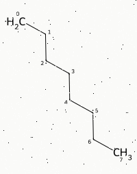 [CH2]C[CH]CC[CH]CC